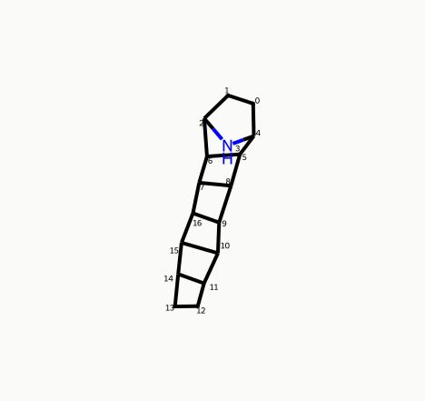 C1CC2NC1C1C2C2C1C1C3C4CCC4C3C21